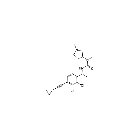 CC(NC(=O)N(C)C1CCN(C)C1)c1ccc(C#CC2CC2)c(Cl)c1Cl